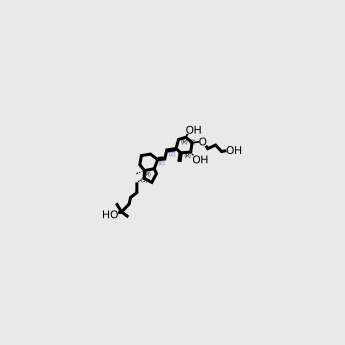 C=C1/C(=C\C=C2/CCC[C@@]3(C)C2CC[C@@H]3CCCCC(C)(C)O)C[C@@H](O)[C@@H](OCCCO)[C@@H]1O